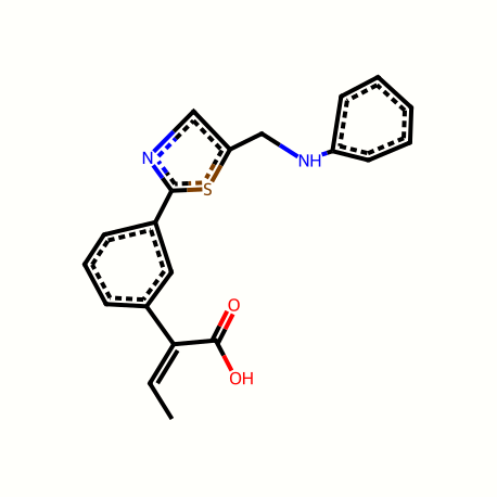 CC=C(C(=O)O)c1cccc(-c2ncc(CNc3ccccc3)s2)c1